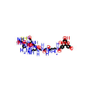 N=C(N)NCCC[C@H](NC(=O)CNC(=O)CNC(=O)[C@@H](N)CCCCNC(=O)c1ccc(-c2c3ccc(=O)cc-3oc3cc(O)ccc23)c(C(=O)O)c1)C(=O)NCC(=O)N[C@@H](CC=O)C(=O)N[C@@H](CO)C(=O)N1CCC[C@H]1C(=O)N[C@@H](CS)C(N)=O